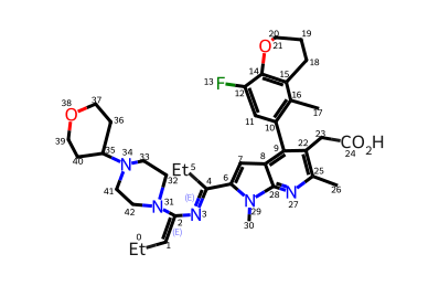 CC/C=C(/N=C(\CC)c1cc2c(-c3cc(F)c4c(c3C)CCCO4)c(CC(=O)O)c(C)nc2n1C)N1CCN(C2CCOCC2)CC1